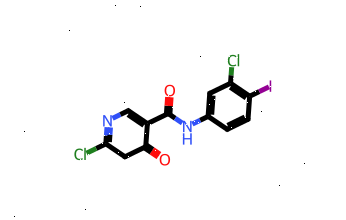 O=C1CC(Cl)=NC=C1C(=O)Nc1ccc(I)c(Cl)c1